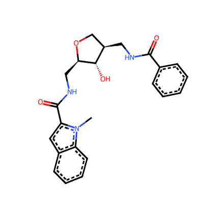 Cn1c(C(=O)NC[C@H]2OC[C@@H](CNC(=O)c3ccccc3)[C@@H]2O)cc2ccccc21